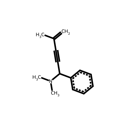 C=C(C)C#CC(c1ccccc1)N(C)C